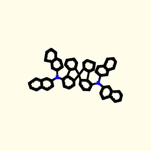 c1ccc2c(c1)-c1c(N(c3ccc4ccccc4c3)c3ccc4ccccc4c3)cccc1C21c2ccccc2-c2c(N(c3ccc4ccccc4c3)c3ccc4ccccc4c3)cccc21